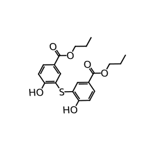 CCCOC(=O)c1ccc(O)c(Sc2cc(C(=O)OCCC)ccc2O)c1